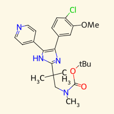 COc1cc(-c2nc(C(C)(C)CN(C)C(=O)OC(C)(C)C)[nH]c2-c2ccncc2)ccc1Cl